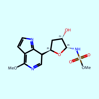 COC1=C2C=CN=C2C([C@H]2C[C@H](O)[C@H](NS(=O)(=O)OC)O2)C=N1